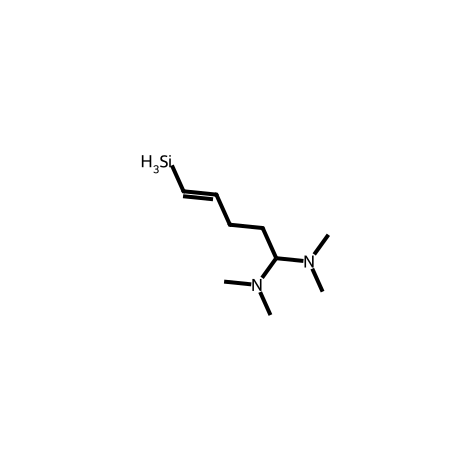 CN(C)C(CCC=C[SiH3])N(C)C